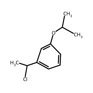 CC(C)Oc1cccc(C(C)Cl)c1